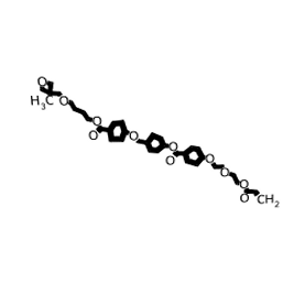 C=CC(=O)OCCOCCOc1ccc(C(=O)Oc2ccc(COc3ccc(C(=O)OCCCCOCC4(C)COC4)cc3)cc2)cc1